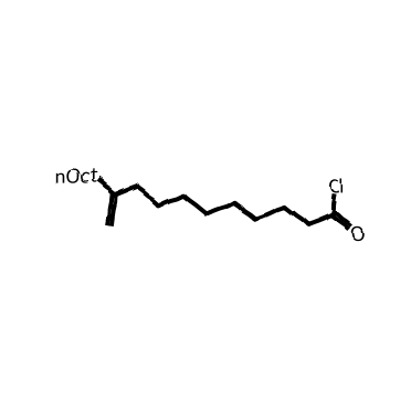 C=C(CCCCCCCC)CCCCCCCCC(=O)Cl